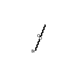 CCCCCCCCC(=O)OCCCCCCCCBr